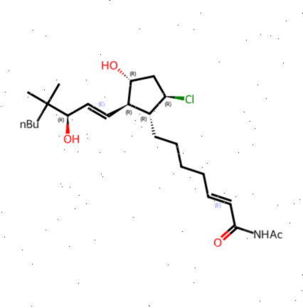 CCCCC(C)(C)[C@H](O)/C=C/[C@@H]1[C@@H](CCCC/C=C/C(=O)NC(C)=O)[C@H](Cl)C[C@H]1O